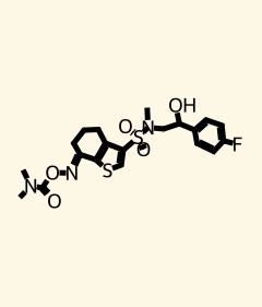 CN(C)C(=O)O/N=C1\CCCc2c(S(=O)(=O)N(C)CC(O)c3ccc(F)cc3)csc21